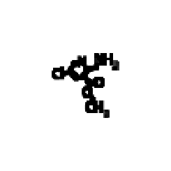 CCOC(=O)c1cc(Cl)cnc1CN